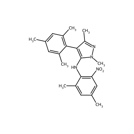 Cc1cc(C)c(-c2c(C)nn(C)c2Nc2c(C)cc(C)cc2[N+](=O)[O-])c(C)c1